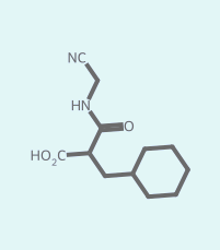 N#CCNC(=O)C(CC1CCCCC1)C(=O)O